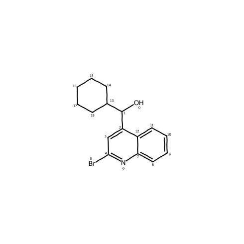 OC(c1cc(Br)nc2ccccc12)C1CCCCC1